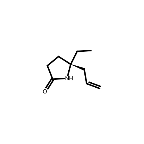 C=CC[C@]1(CC)CCC(=O)N1